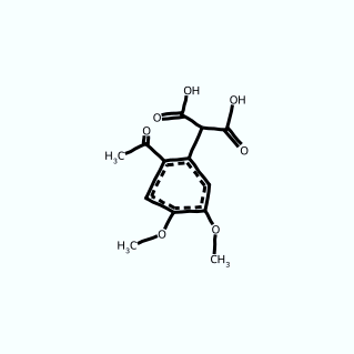 COc1cc(C(C)=O)c(C(C(=O)O)C(=O)O)cc1OC